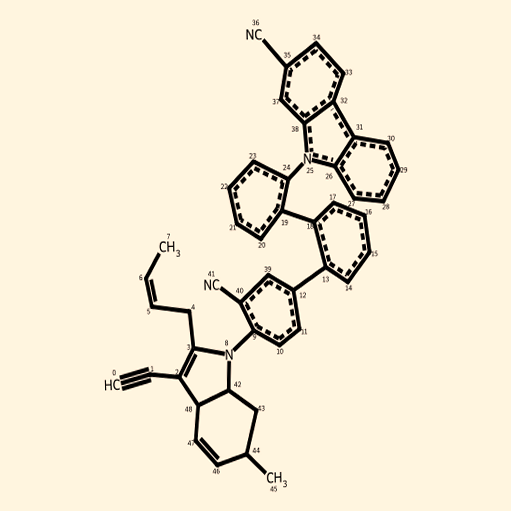 C#CC1=C(C/C=C\C)N(c2ccc(-c3ccccc3-c3ccccc3-n3c4ccccc4c4ccc(C#N)cc43)cc2C#N)C2CC(C)C=CC12